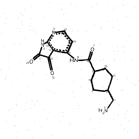 NCC1CCC(C(=O)Nc2ccnc3c2C(=O)C(=O)N3)CC1